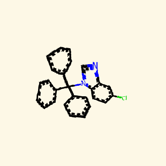 Clc1ccc2c(c1)ncn2C(c1ccccc1)(c1ccccc1)c1ccccc1